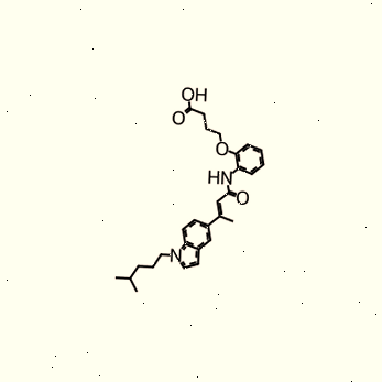 C/C(=C\C(=O)Nc1ccccc1OCCCC(=O)O)c1ccc2c(ccn2CCCC(C)C)c1